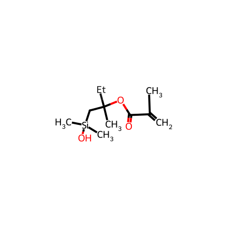 C=C(C)C(=O)OC(C)(CC)C[Si](C)(C)O